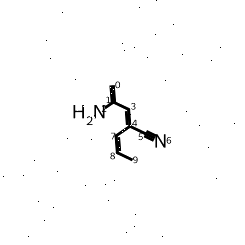 C=C(N)/C=C(C#N)\C=C/C